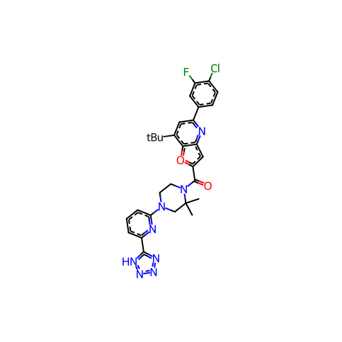 CC(C)(C)c1cc(-c2ccc(Cl)c(F)c2)nc2cc(C(=O)N3CCN(c4cccc(-c5nnn[nH]5)n4)CC3(C)C)oc12